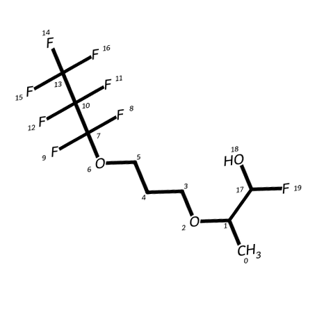 CC(OCCCOC(F)(F)C(F)(F)C(F)(F)F)C(O)F